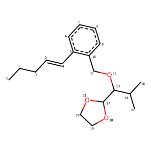 CCCC=Cc1ccccc1COC(C(C)C)C1OCCO1